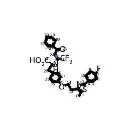 Cc1sc(-c2ccc(F)cc2)nc1CCOc1ccc(C[C@H](N/C(=C/C(=O)c2ccccc2)C(F)(F)F)C(=O)O)cc1